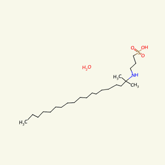 CCCCCCCCCCCCCCCCCC(C)(C)NCCCS(=O)(=O)O.O